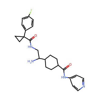 NC(CNC(=O)C1(c2ccc(F)cc2)CC1)C1CCC(C(=O)Nc2ccncc2)CC1